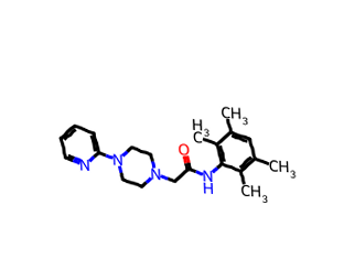 Cc1cc(C)c(C)c(NC(=O)CN2CCN(c3ccccn3)CC2)c1C